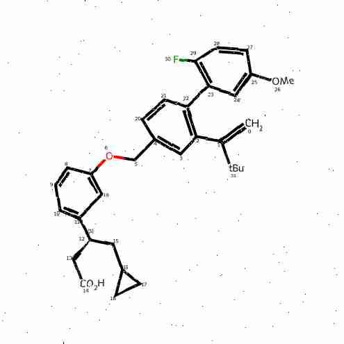 C=C(c1cc(COc2cccc([C@H](CC(=O)O)CC3CC3)c2)ccc1-c1cc(OC)ccc1F)C(C)(C)C